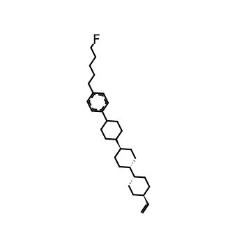 C=C[C@H]1CC[C@H]([C@H]2CC[C@H](C3CCC(c4ccc(CCCCCF)cc4)CC3)CC2)CC1